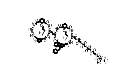 CCCCOc1c2cccc1C(=O)NCCN(CCN1CCNC(=O)c3cccc(c3OCCCC)C(=O)NCCN(C(=O)CNC(=O)CNC(=O)CNC(=O)CNC(=O)CNC(=O)OC(C)(C)C)CCNC(=O)c3cccc(c3OC(Cc3ccccc3)c3ccccc3)C(=O)NCC1)CCNC(=O)c1cccc(c1O)C(=O)NCCNCCNC2=O